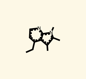 CCc1ccnc2c1c(C)c(C)n2C